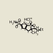 CCNCC1(C)Cc2cc(S(N)(=O)=O)sc2S1(=O)=O.Cl